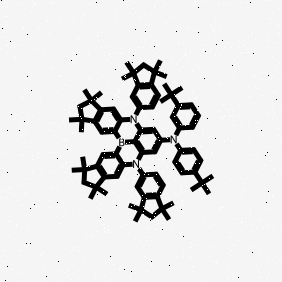 CC(C)(C)c1ccc(N(c2cccc(C(C)(C)C)c2)c2cc3c4c(c2)N(c2ccc5c(c2)C(C)(C)CC5(C)C)c2cc5c(cc2B4c2cc4c(cc2N3c2ccc3c(c2)C(C)(C)CC3(C)C)C(C)(C)CC4(C)C)C(C)(C)CC5(C)C)cc1